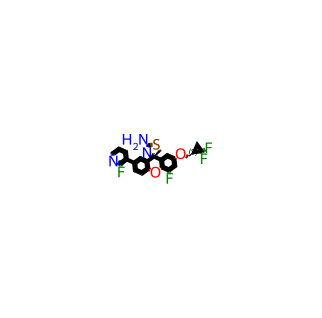 NC1=N[C@@]2(CS1)c1cc(-c3cccnc3F)ccc1Oc1c(F)cc(OC[C@@H]3CC3(F)F)cc12